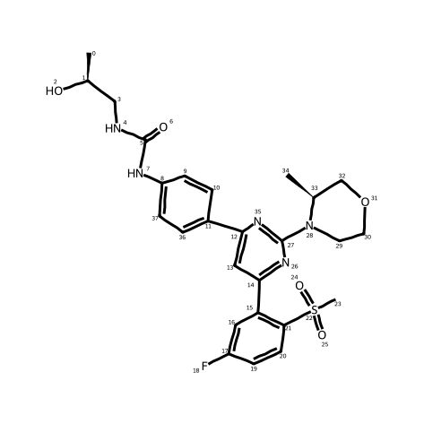 C[C@H](O)CNC(=O)Nc1ccc(-c2cc(-c3cc(F)ccc3S(C)(=O)=O)nc(N3CCOC[C@@H]3C)n2)cc1